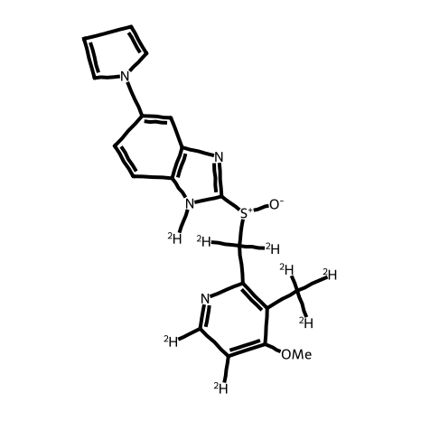 [2H]c1nc(C([2H])([2H])[S+]([O-])c2nc3cc(-n4cccc4)ccc3n2[2H])c(C([2H])([2H])[2H])c(OC)c1[2H]